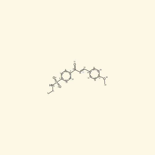 CCNS(=O)(=O)c1ccc(C(=O)/C=C/c2ccc(OC)cc2)cc1